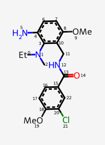 CCN(C)c1c(N)ccc(OC)c1CNC(=O)c1ccc(OC)c(Cl)c1